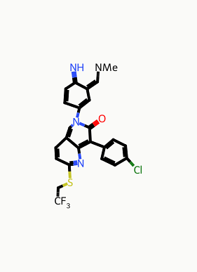 CN/C=C1/C=C(n2cc3ccc(SCC(F)(F)F)nc3c(-c3ccc(Cl)cc3)c2=O)C=CC1=N